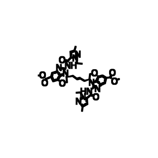 CCn1nc(C)cc1C(=O)Nc1nc2cc(C(=O)OC)cc3c2n1[C@@H](C/C=C/C[C@H]1COc2cc(C(=O)OC)cc4nc(NC(=O)c5cc(C)nn5CC)n1c24)CO3